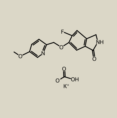 COc1ccc(COc2cc3c(cc2F)CNC3=O)nc1.O=C([O-])O.[K+]